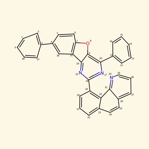 c1ccc(-c2ccc3oc4c(-c5ccccc5)nc(-c5cccc6ccc7cccnc7c56)nc4c3c2)cc1